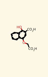 O=C(O)COc1cc(C(=O)O)c(O)c2ccccc12